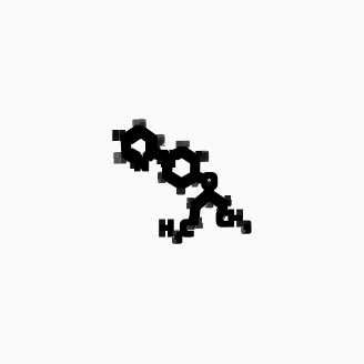 CCCC(CC)OC1CCN(c2ccccn2)CC1